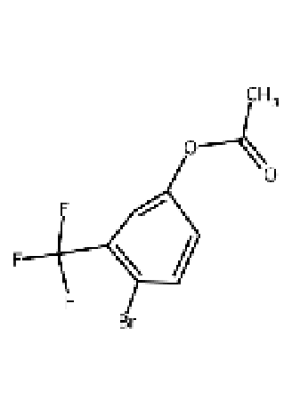 CC(=O)Oc1ccc(Br)c(C(F)(F)F)c1